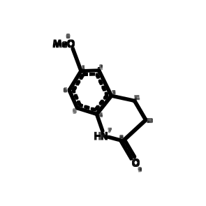 COc1[c]c2c(cc1)NC(=O)CC2